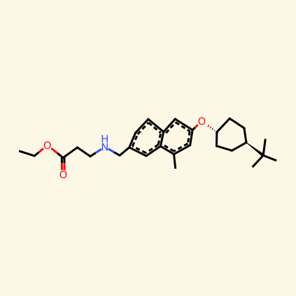 CCOC(=O)CCNCc1ccc2cc(O[C@H]3CC[C@H](C(C)(C)C)CC3)cc(C)c2c1